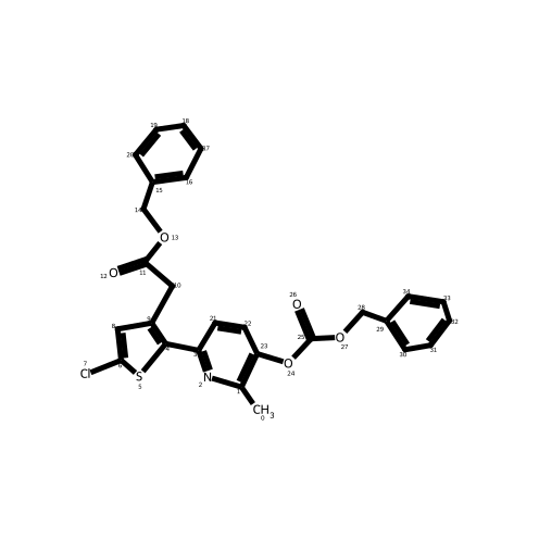 Cc1nc(-c2sc(Cl)cc2CC(=O)OCc2ccccc2)ccc1OC(=O)OCc1ccccc1